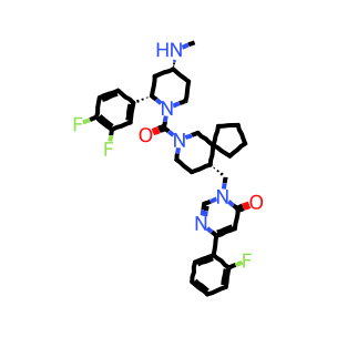 CN[C@@H]1CCN(C(=O)N2CC[C@@H](Cn3cnc(-c4ccccc4F)cc3=O)C3(CCCC3)C2)[C@H](c2ccc(F)c(F)c2)C1